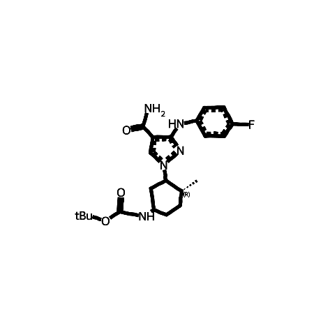 C[C@@H]1CCC(NC(=O)OC(C)(C)C)CC1n1cc(C(N)=O)c(Nc2ccc(F)cc2)n1